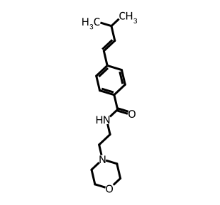 CC(C)/C=C/c1ccc(C(=O)NCCN2CCOCC2)cc1